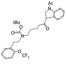 CC(=O)N1CC(C(=O)CCCCN(CCc2ccccc2OC(F)(F)F)C(=O)OC(C)(C)C)c2ccccc21